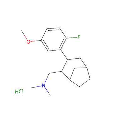 COc1ccc(F)c(C2CC3CCC(C3)C2CN(C)C)c1.Cl